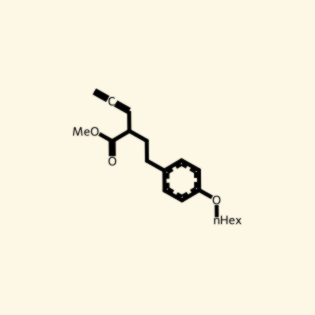 C=C=CC(CCc1ccc(OCCCCCC)cc1)C(=O)OC